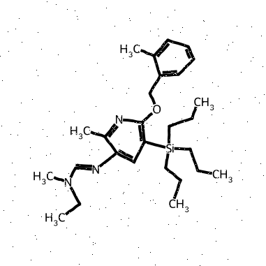 CCC[Si](CCC)(CCC)c1cc(/N=C/N(C)CC)c(C)nc1OCc1ccccc1C